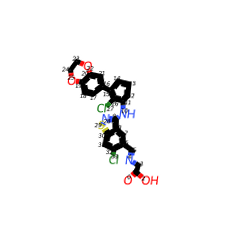 O=C(O)CN=Cc1cc2c(Nc3cccc(-c4ccc5c(c4)OCCO5)c3Cl)nsc2cc1Cl